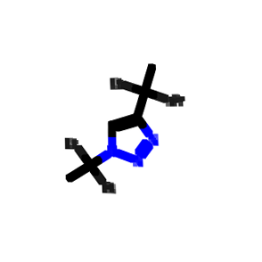 CCCC(C)(CC)c1cn(C(C)(CC)CC)nn1